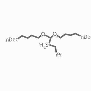 CCCCCCCCCCCCCCOC(OCCCCCCCCCCCCCC)[SiH2]CC(C)C